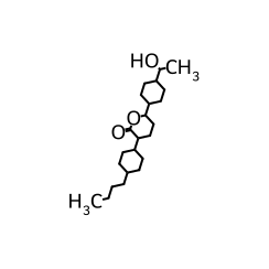 CCCCC1CCC(C2CCC(C3CCC(C(C)O)CC3)OC2=O)CC1